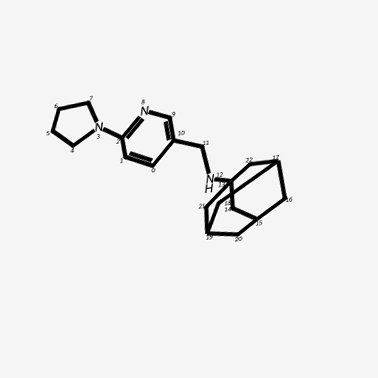 c1cc(N2CCCC2)ncc1CNC12CC3CC(CC(C3)C1)C2